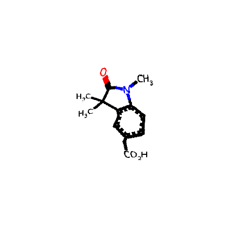 CN1C(=O)C(C)(C)c2cc(C(=O)O)ccc21